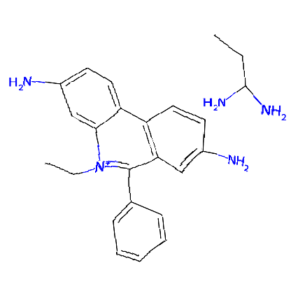 CCC(N)N.CC[n+]1c(-c2ccccc2)c2cc(N)ccc2c2ccc(N)cc21